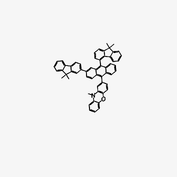 CN1c2ccccc2Oc2ccc(-c3c4ccccc4c(-c4cccc5c4-c4ccccc4C5(C)C)c4cc(-c5ccc6c(c5)C(C)(C)c5ccccc5-6)ccc34)cc21